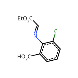 CCOC(=O)C=Nc1c(Cl)cccc1C(=O)O